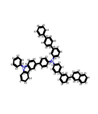 C1=Cc2c(c3cc(-c4ccc(N(c5ccc(-c6cccc(-c7ccc8ccccc8c7)c6)cc5)c5cccc(-c6ccc(-c7ccccc7)cc6)c5)cc4)ccc3n2-c2ccccc2)CC1